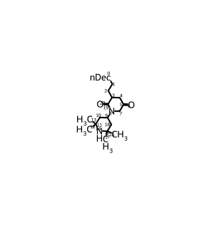 CCCCCCCCCCCCC1CC(=O)CN(C2CC(C)(C)NC(C)(C)C2)C1=O